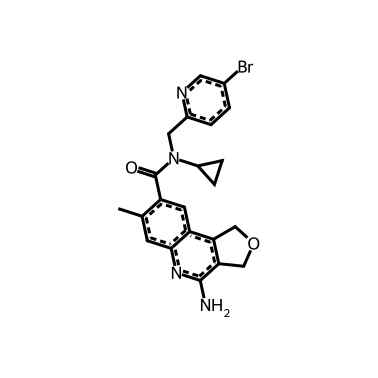 Cc1cc2nc(N)c3c(c2cc1C(=O)N(Cc1ccc(Br)cn1)C1CC1)COC3